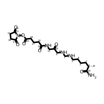 C[C@@H](CCCCNCNCC(=O)CNC(=O)CCCC(=O)ON1C(=O)CCC1=O)C(N)=O